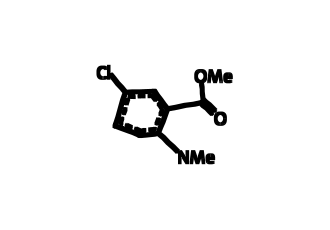 CNc1ccc(Cl)cc1C(=O)OC